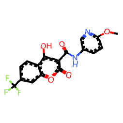 COc1ccc(NC(=O)c2c(O)c3ccc(C(F)(F)F)cc3oc2=O)cn1